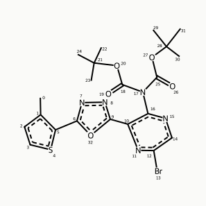 Cc1ccsc1-c1nnc(-c2nc(Br)cnc2N(C(=O)OC(C)(C)C)C(=O)OC(C)(C)C)o1